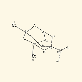 CCC12CC3CC(CC)(C1)CC(N(C)C)(C3)C2